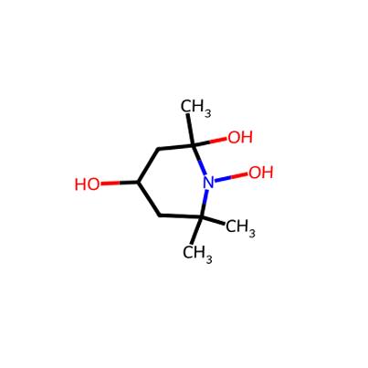 CC1(C)CC(O)CC(C)(O)N1O